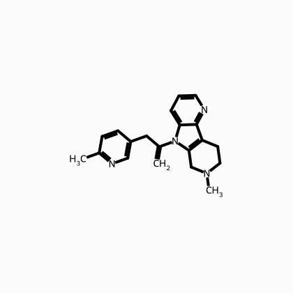 C=C(Cc1ccc(C)nc1)n1c2c(c3ncccc31)CCN(C)C2